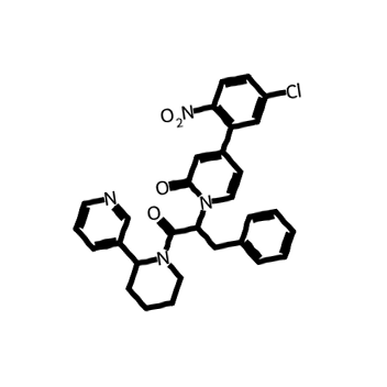 O=C(C(Cc1ccccc1)n1ccc(-c2cc(Cl)ccc2[N+](=O)[O-])cc1=O)N1CCCCC1c1cccnc1